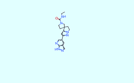 CCNC(=O)N1CCC2(CCn3nc(-c4cnc5[nH]ncc5c4)cc32)C1